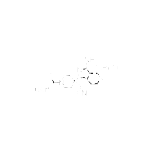 CCCCOc1nccc2c1c(N)nn2C1(CC#N)CCN(C(=O)OC(C)(C)C)CC1